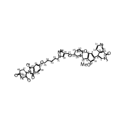 COc1cc(-c2cn(C)c(=O)c3cnccc23)cc(OC)c1CN1CCCC(OCc2cn(CCCCCOc3ccc4c(c3)C(=O)N(C3CCC(=O)NC3=O)C4=O)nn2)C1